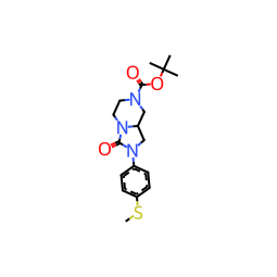 CSc1ccc(N2CC3CN(C(=O)OC(C)(C)C)CCN3C2=O)cc1